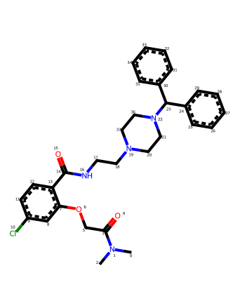 CN(C)C(=O)COc1cc(Cl)ccc1C(=O)NCCN1CCN(C(c2ccccc2)c2ccccc2)CC1